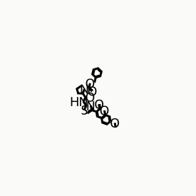 COc1ccc2cc(-c3csc(NC(=O)C4CCCN4C(=O)OCc4ccccc4)n3)c(=O)oc2c1